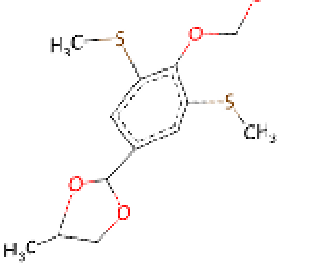 COCOc1c(SC)cc(C2OCC(C)O2)cc1SC